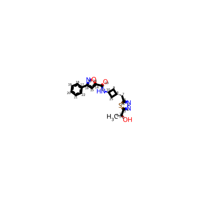 C[C@@H](O)c1nnc(C[C@H]2C[C@H](NC(=O)c3cc(-c4ccccc4)no3)C2)s1